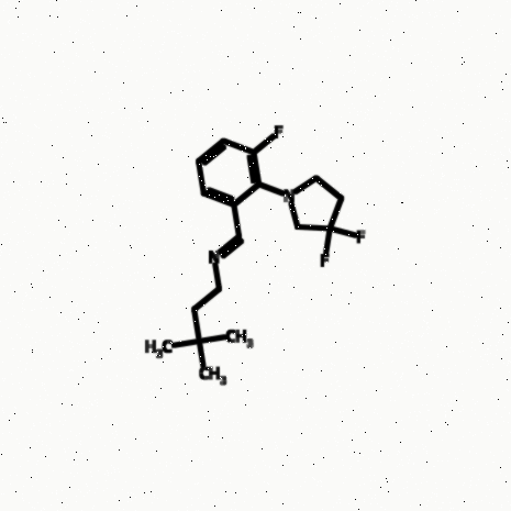 CC(C)(C)CCN=Cc1cccc(F)c1N1CCC(F)(F)C1